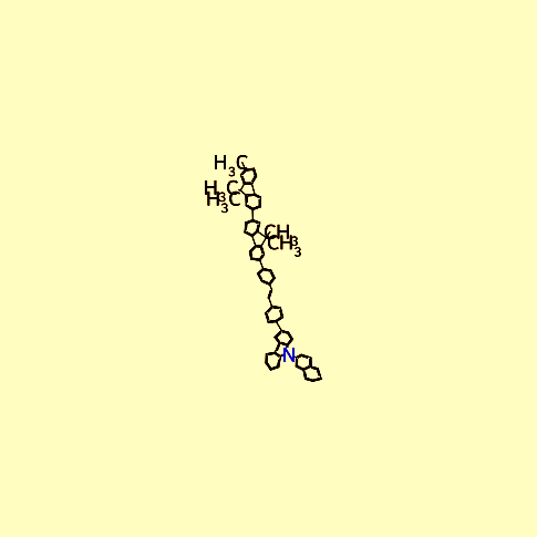 Cc1ccc2c(c1)C(C)(C)c1cc(-c3ccc4c(c3)C(C)(C)c3cc(-c5ccc(/C=C/c6ccc(-c7ccc8c(c7)c7ccccc7n8-c7ccc8ccccc8c7)cc6)cc5)ccc3-4)ccc1-2